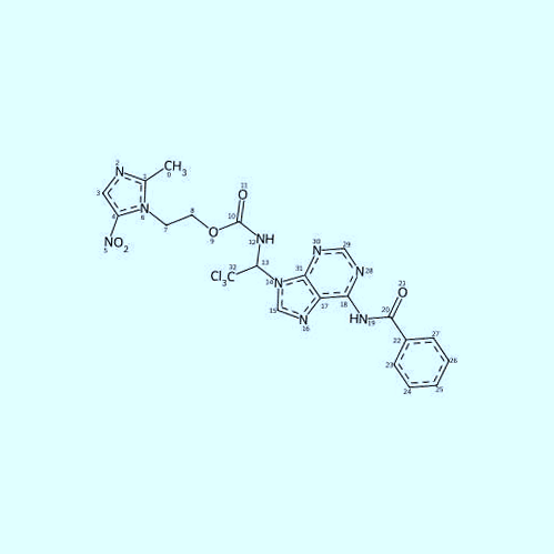 Cc1ncc([N+](=O)[O-])n1CCOC(=O)NC(n1cnc2c(NC(=O)c3ccccc3)ncnc21)C(Cl)(Cl)Cl